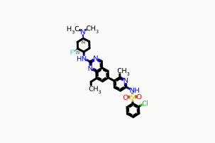 CCc1cc(-c2ccc(NS(=O)(=O)c3ccccc3Cl)nc2C)cc2cnc(NC3CC[C@H](N(C)C)C[C@@H]3F)nc12